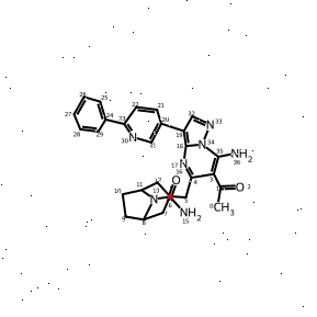 CC(=O)c1c(CC2CC3CCC(C2)N3C(N)=O)nc2c(-c3ccc(-c4ccccc4)nc3)cnn2c1N